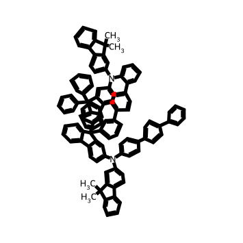 CC1(C)c2ccccc2-c2ccc(N(c3ccc(-c4ccc(-c5ccccc5)cc4)cc3)c3ccc4c(c3)C(c3ccccc3)(c3cccc(-c5ccc(-c6ccccc6N(c6ccc7c(c6)C(C)(C)c6ccccc6-7)c6ccc7c(c6)C(c6ccccc6)(c6ccccc6)c6ccccc6-7)cc5)c3)c3ccccc3-4)cc21